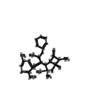 CN(Cc1ccccc1)C(=O)C1N2C(=O)C(N)[C@@H]2SC1(C)C.Cc1ccc(S(=O)(=O)O)cc1